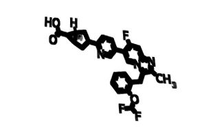 Cc1nc2cc(F)c(-c3ccc(C4CC5C(C(=O)O)[C@@H]5C4)nc3)cn2c1Cc1ccccc1OC(F)F